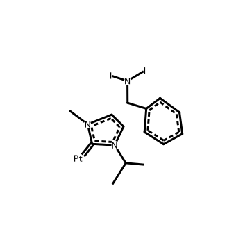 CC(C)n1ccn(C)[c]1=[Pt].IN(I)Cc1ccccc1